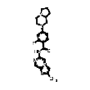 Cc1cn2cc(NC(=O)c3ccc(N4CCN5CCCC5C4)cc3F)ncc2n1